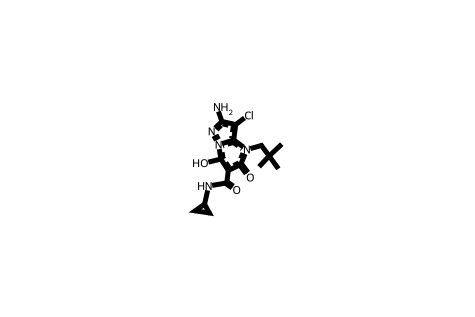 CC(C)(C)Cn1c(=O)c(C(=O)NC2CC2)c(O)n2nc(N)c(Cl)c12